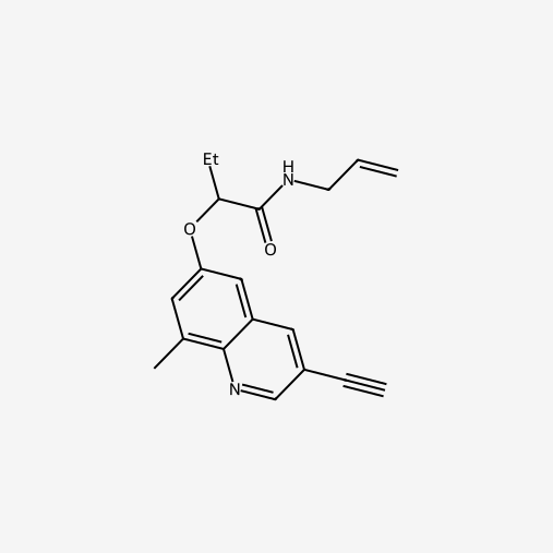 C#Cc1cnc2c(C)cc(OC(CC)C(=O)NCC=C)cc2c1